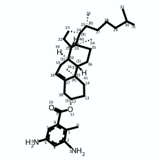 Cc1c(N)cc(N)cc1C(=O)O[C@H]1CC[C@@]2(C)C(=CC[C@H]3[C@@H]4CC[C@H]([C@H](C)CCCC(C)C)[C@@]4(C)CC[C@@H]32)C1